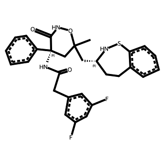 CC1(C[C@H]2CCc3ccccc3SN2)C[C@@](NC(=O)Cc2cc(F)cc(F)c2)(c2ccccc2)C(=O)NO1